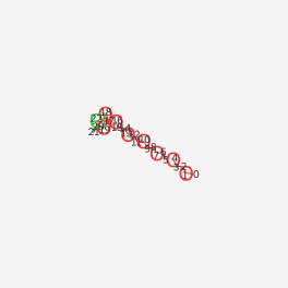 COCCOCCOCCOCCOCCOC(=O)OC(C)Cl